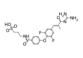 C/C(=C\c1cc(F)c(Oc2ccc([S+]([O-])NCCCS(=O)(=O)O)cc2)c(F)c1)C(=O)N=C(N)N